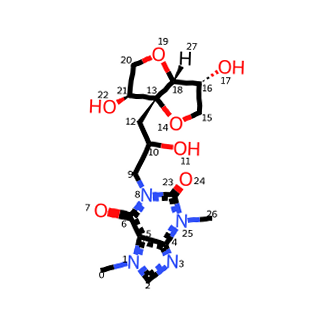 Cn1cnc2c1c(=O)n(CC(O)C[C@]13OC[C@@H](O)[C@H]1OC[C@@H]3O)c(=O)n2C